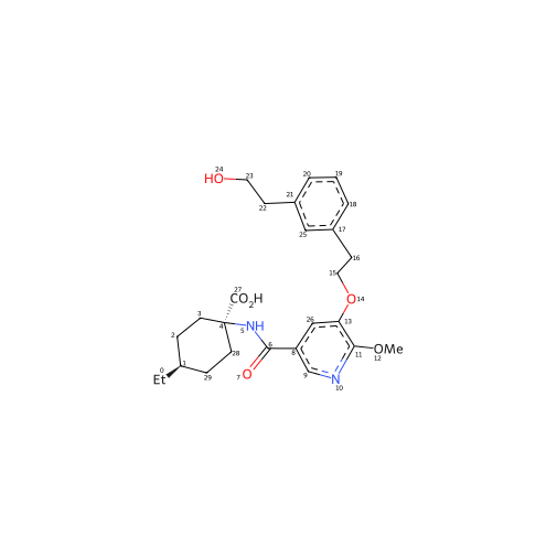 CC[C@H]1CC[C@](NC(=O)c2cnc(OC)c(OCCc3cccc(CCO)c3)c2)(C(=O)O)CC1